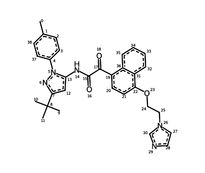 Cc1ccc(-n2nc(C(C)(C)C)cc2NC(=O)C(=O)c2ccc(OCCn3ccnc3)c3ccccc23)cc1